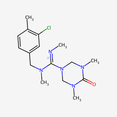 C/N=C(/N(C)Cc1ccc(C)c(Cl)c1)N1CN(C)C(=O)N(C)C1